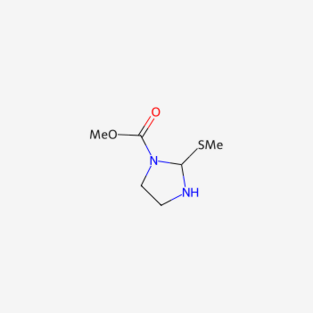 COC(=O)N1CCNC1SC